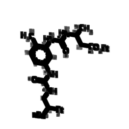 CCCCC(CC)CNC(=O)Nc1ccc(C)c(NC(=O)NC(C)CC(=O)OCC)c1